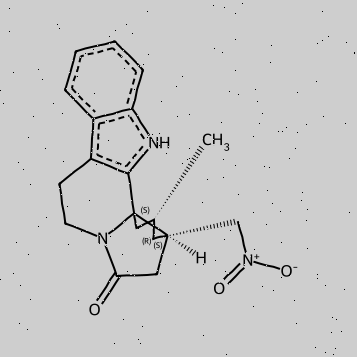 C[C@H]1CC23c4[nH]c5ccccc5c4CCN2C(=O)C[C@H]3[C@@H]1C[N+](=O)[O-]